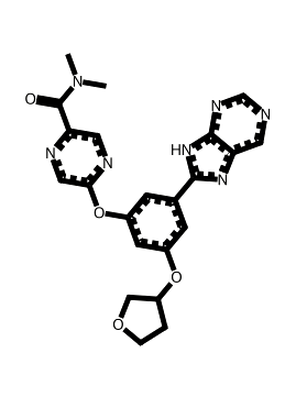 CN(C)C(=O)c1cnc(Oc2cc(OC3CCOC3)cc(-c3nc4cncnc4[nH]3)c2)cn1